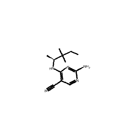 CCC(C)(C)[C@H](C)Nc1nc(N)ncc1C#N